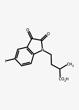 CC(CCN1C(=O)C(=O)c2cc(I)ccc21)C(=O)O